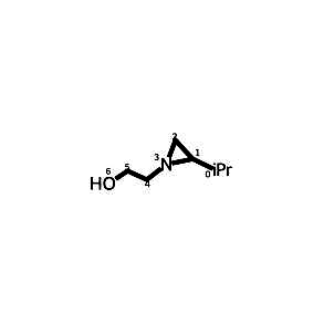 CC(C)C1CN1CCO